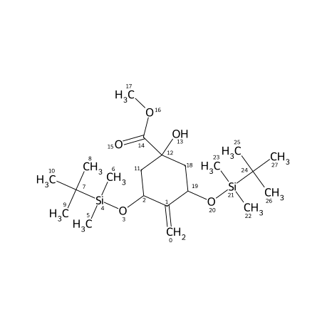 C=C1C(O[Si](C)(C)C(C)(C)C)CC(O)(C(=O)OC)CC1O[Si](C)(C)C(C)(C)C